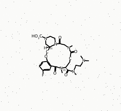 CN(C)CCN(C)C(=O)[C@@H]1CCC(=O)N(C)CC(=O)N2CCN(C(=O)O)C[C@H]2COc2ccc(F)cc2C(=O)N1C